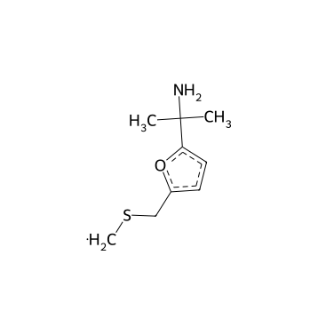 [CH2]SCc1ccc(C(C)(C)N)o1